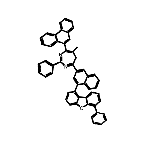 CC1=C(c2cc3ccccc3c3ccccc23)N=C(c2ccccc2)N=C(c2cc(-c3cccc4oc5c(-c6ccccc6)cccc5c34)c3ccccc3c2)C1